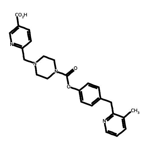 Cc1cccnc1Cc1ccc(OC(=O)N2CCN(Cc3ccc(C(=O)O)cn3)CC2)cc1